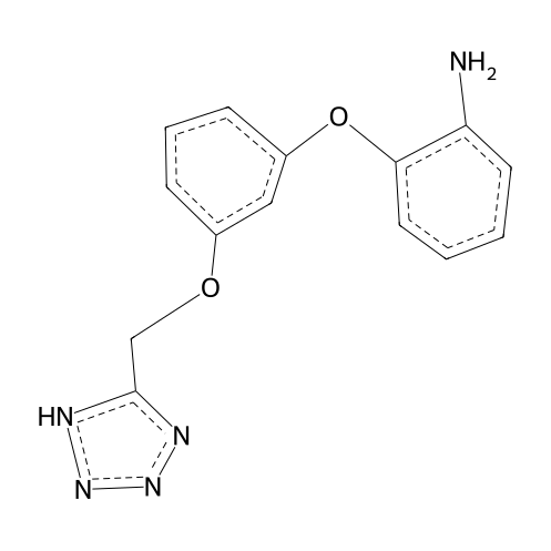 Nc1ccccc1Oc1cccc(OCc2nnn[nH]2)c1